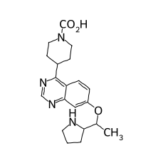 CC(Oc1ccc2c(C3CCN(C(=O)O)CC3)ncnc2c1)C1CCCN1